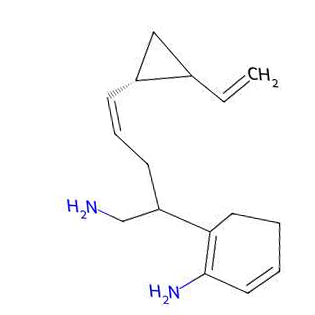 C=CC1C[C@H]1/C=C\CC(CN)C1=C(N)C=CCC1